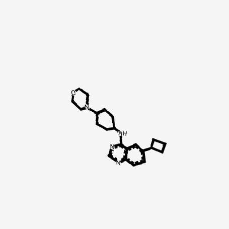 c1nc(NC2CCC(N3CCOCC3)CC2)c2cc(C3CCC3)ccc2n1